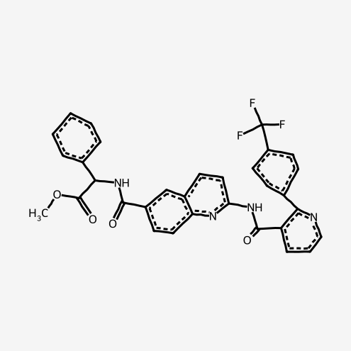 COC(=O)C(NC(=O)c1ccc2nc(NC(=O)c3cccnc3-c3ccc(C(F)(F)F)cc3)ccc2c1)c1ccccc1